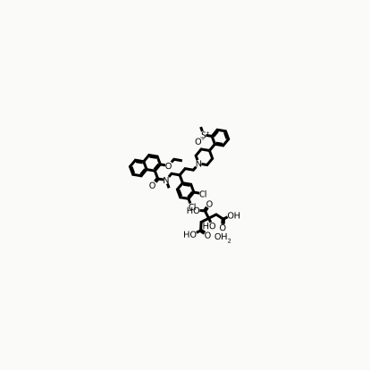 CCOc1ccc2ccccc2c1C(=O)N(C)CC(CCN1CCC(c2ccccc2[S+](C)[O-])CC1)c1ccc(Cl)c(Cl)c1.O.O=C(O)CC(O)(CC(=O)O)C(=O)O